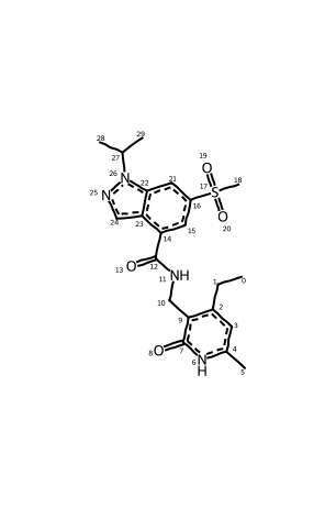 CCc1cc(C)[nH]c(=O)c1CNC(=O)c1cc(S(C)(=O)=O)cc2c1cnn2C(C)C